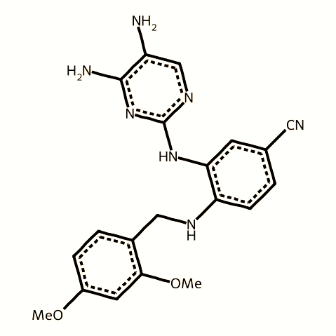 COc1ccc(CNc2ccc(C#N)cc2Nc2ncc(N)c(N)n2)c(OC)c1